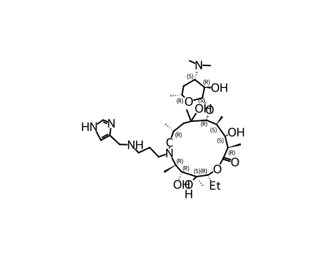 CC[C@H]1OC(=O)[C@H](C)[C@@H](O)[C@H](C)[C@@H](O[C@@H]2O[C@H](C)C[C@H](N(C)C)[C@H]2O)C(C)(O)C[C@@H](C)CN(CCCNCc2c[nH]cn2)[C@H](C)[C@@H](O)[C@]1(C)O